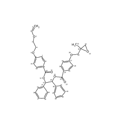 C=COCCOc1ccc(C(=O)OC(c2ccccc2)C(OC(=O)c2ccc(OCC3(C)CO3)cc2)c2ccccc2)cc1